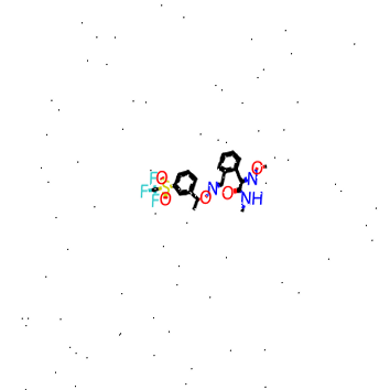 CNC(=O)/C(=N/OC)c1ccccc1/C=N/OC(C)c1cccc(S(=O)(=O)C(F)(F)F)c1